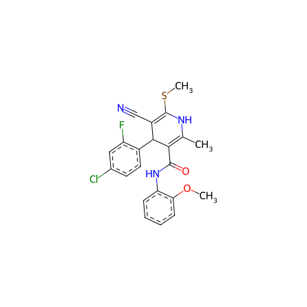 COc1ccccc1NC(=O)C1=C(C)NC(SC)=C(C#N)C1c1ccc(Cl)cc1F